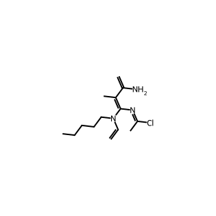 C=CN(CCCCC)C(/N=C(\C)Cl)=C(\C)C(=C)N